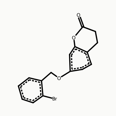 O=C1CCc2ccc(OCc3ccccc3Br)cc2O1